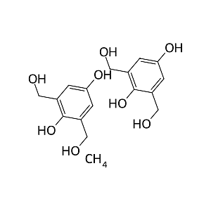 C.OCc1cc(O)cc(CO)c1O.OCc1cc(O)cc(CO)c1O